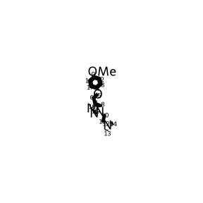 COc1ccc(OCc2cn(CCN(C)C)nn2)cc1